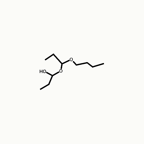 CCCCOC(CC)OC(O)CC